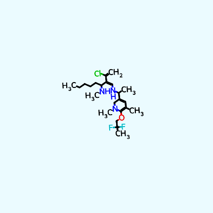 C=C(Cl)/C(=C/NC(C)C1=CC(C)=C(OCC(C)(F)F)N(C)C1)C(CCCCC)NC